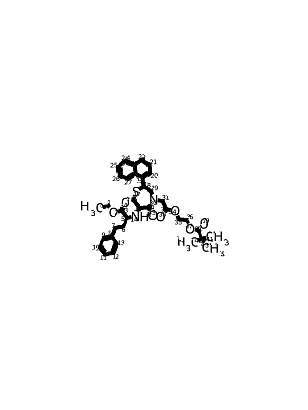 CCOC(=O)C(CCc1ccccc1)NC1CSC(c2cccc3ccccc23)CN(CC(=O)OCCOC(=O)C(C)(C)C)C1=O